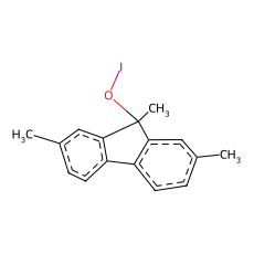 Cc1ccc2c(c1)C(C)(OI)c1cc(C)ccc1-2